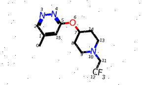 Cc1cnnc(OC2CCN(CC(F)(F)F)CC2)c1